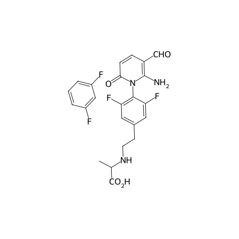 CC(NCCc1cc(F)c(-n2c(N)c(C=O)ccc2=O)c(F)c1)C(=O)O.Fc1cccc(F)c1